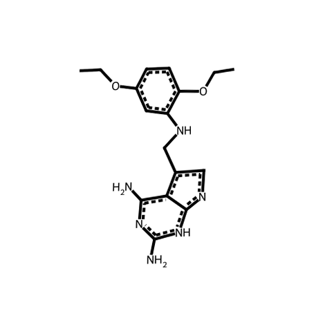 CCOc1ccc(OCC)c(NCc2cnc3[nH]c(N)nc(N)c2-3)c1